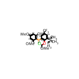 COCOc1c(P(Cl)c2c(OC)cc(OC)cc2OC)cc(C(F)(F)F)cc1[Si](C)(C)C